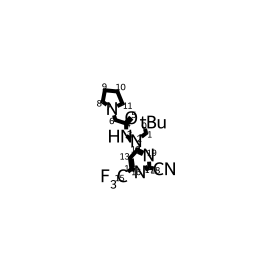 CC(C)(C)CN(NC(=O)CN1CCCC1)c1cc(C(F)(F)F)nc(C#N)n1